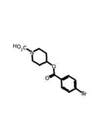 O=C(OC1CCN(C(=O)O)CC1)c1ccc(Br)cc1